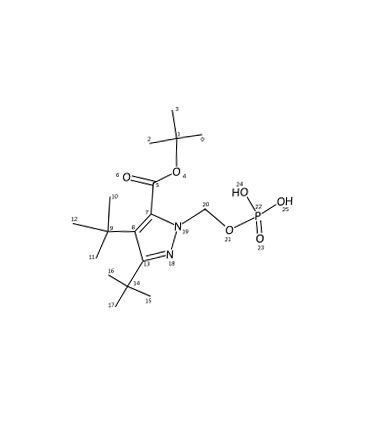 CC(C)(C)OC(=O)c1c(C(C)(C)C)c(C(C)(C)C)nn1COP(=O)(O)O